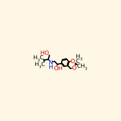 CC(C)C(CO)NCC(O)c1ccc2c(c1)COC(C)(C)O2